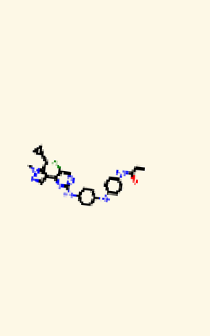 C=CC(=O)N[C@H]1CC[C@H](N[C@H]2CC[C@H](Nc3ncc(Cl)c(-c4cnn(C)c4CC4CC4)n3)CC2)CC1